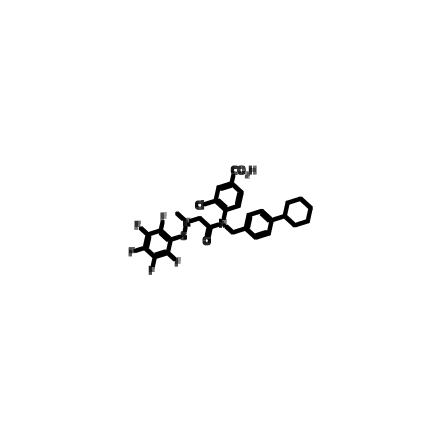 CN(CC(=O)N(Cc1ccc(C2CCCCC2)cc1)c1ccc(C(=O)O)cc1Cl)Sc1c(F)c(F)c(F)c(F)c1F